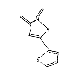 C=c1cc(-c2cccs2)sc1=C